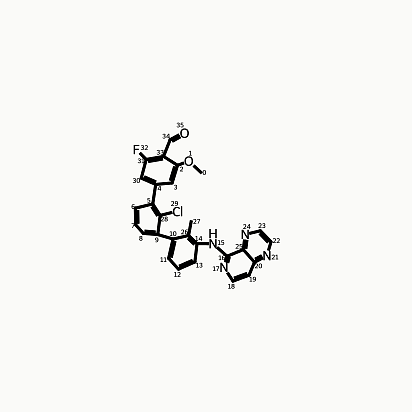 COc1cc(-c2cccc(-c3cccc(Nc4nccc5nccnc45)c3C)c2Cl)cc(F)c1C=O